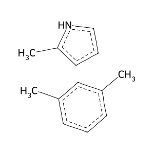 Cc1ccc[nH]1.Cc1cccc(C)c1